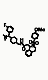 COc1ccc(S(=O)(=O)N2CCc3ccccc3C2CC(=O)NCC2CCC(C(c3cccc(F)c3)N(C)C)CC2)cc1